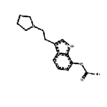 CCCC(=O)Oc1cccc2c(CCN3CCCC3)c[nH]c12